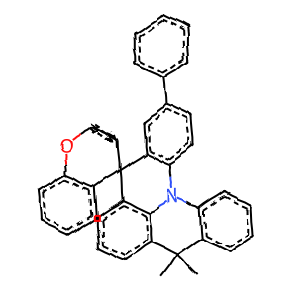 CC1(C)c2ccccc2N2c3ccc(-c4ccccc4)cc3C3(c4ccccc4Oc4ccccc43)c3cccc1c32